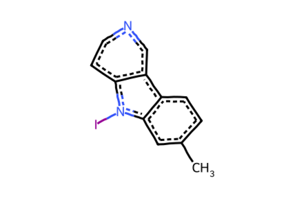 Cc1ccc2c3cnccc3n(I)c2c1